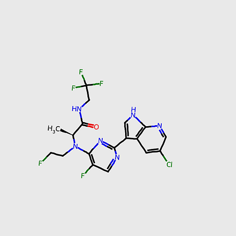 C[C@@H](C(=O)NCC(F)(F)F)N(CCF)c1nc(-c2c[nH]c3ncc(Cl)cc23)ncc1F